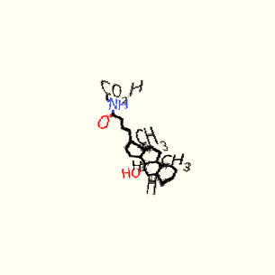 C[C@]12CCC3[C@H](C1CCC2CCCC(=O)NCC(=O)O)[C@@H](O)C[C@@H]1CCCC[C@]31C